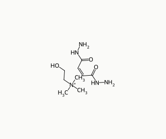 C[N+](C)(C)CCO.NNC(=O)/C=C\C(=O)NN